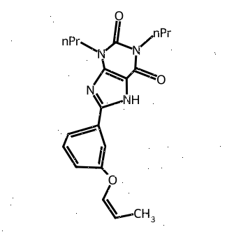 C/C=C\Oc1cccc(-c2nc3c([nH]2)c(=O)n(CCC)c(=O)n3CCC)c1